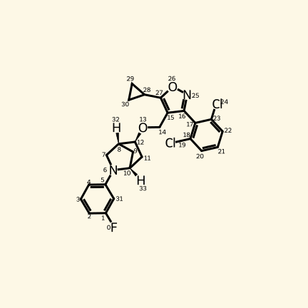 Fc1cccc(N2C[C@H]3C[C@@H]2C[C@@H]3OCc2c(-c3c(Cl)cccc3Cl)noc2C2CC2)c1